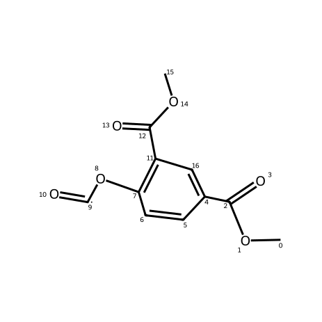 COC(=O)c1ccc(O[C]=O)c(C(=O)OC)c1